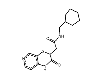 O=C(CC1Sc2cnccc2NC1=O)NCC1CCCCC1